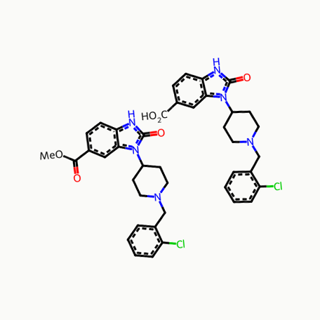 COC(=O)c1ccc2[nH]c(=O)n(C3CCN(Cc4ccccc4Cl)CC3)c2c1.O=C(O)c1ccc2[nH]c(=O)n(C3CCN(Cc4ccccc4Cl)CC3)c2c1